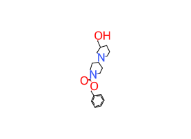 O=C(OCc1ccccc1)N1CCC(N2CCCC(CO)C2)CC1